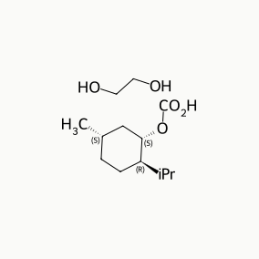 CC(C)[C@H]1CC[C@H](C)C[C@@H]1OC(=O)O.OCCO